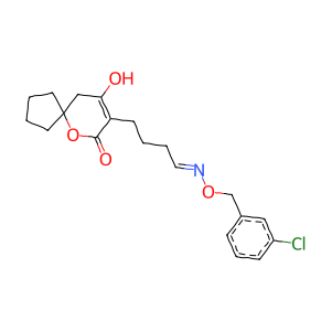 O=C1OC2(CCCC2)CC(O)=C1CCCC=NOCc1cccc(Cl)c1